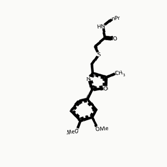 CCCNC(=O)CSCc1nc(-c2ccc(OC)c(OC)c2)oc1C